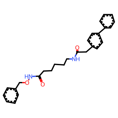 O=C(Cc1ccc(-c2ccccc2)cc1)NCCCCCC(=O)NOCc1ccccc1